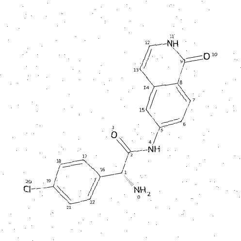 N[C@@H](C(=O)Nc1ccc2c(=O)[nH]ccc2c1)c1ccc(Cl)cc1